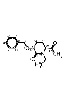 CCN1C(=O)N(OCc2ccccc2)CC[C@H]1C(C)=O